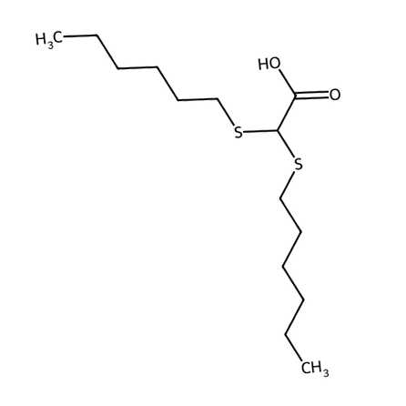 CCCCCCSC(SCCCCCC)C(=O)O